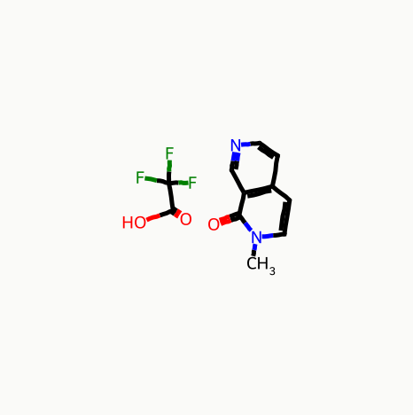 Cn1ccc2ccncc2c1=O.O=C(O)C(F)(F)F